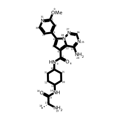 COc1cc(-c2cc(C(=O)NC3CCC(NC(=O)[C@@H](C)N)CC3)c3c(N)ncnn23)ccn1